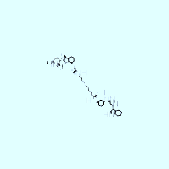 O=C(COc1cccc2c1C(=O)N(C1CCC(=O)NC1=O)C2=O)NCCCCCCCCCC(=O)Nc1cccc(Nc2cc(-c3c[nH]c4ccccc34)ncn2)c1